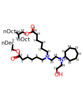 CCCCCCCCCCCOC(=O)CCCCCN(CCCCCC(=O)OCC(CCCCCCCC)CCCCCCCC)CCN(CCO)C1CCCCCC1